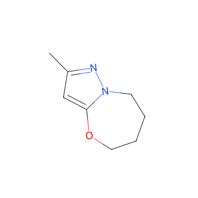 Cc1cc2n(n1)CCCCO2